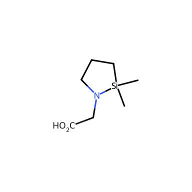 C[Si]1(C)CCCN1CC(=O)O